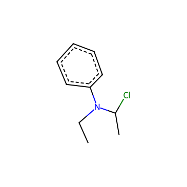 CCN(c1ccccc1)C(C)Cl